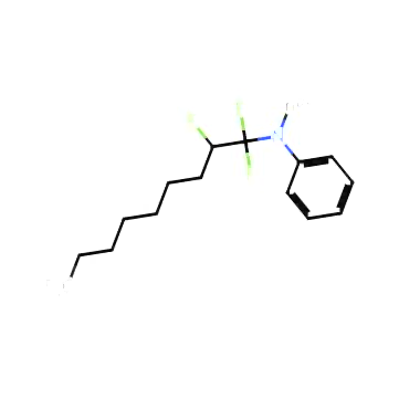 CCCN(c1ccccc1)C(F)(F)C(F)CCCCCCC(F)(F)F